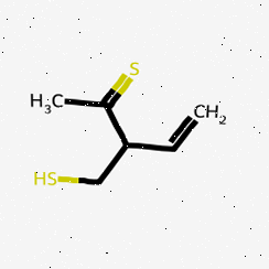 C=CC(CS)C(C)=S